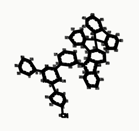 N#Cc1ccc(-c2nc(-c3ccccc3)cc(-c3cccc(-n4c5ccccc5c5ccc6c(c54)-c4ccccc4C64c5ccccc5-c5ccccc54)c3)n2)cc1